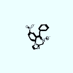 O=[N+]([O-])c1ccc2c(c1)C(c1ccccc1)=[N+]([O-])Cc1nccn1-2